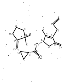 C=CCC1=C(C)[C@@H](OC(=O)[C@@H]2C[C@@H]2C=C2CCCC2(C)C)CC1=C